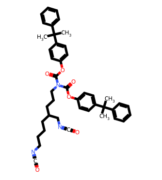 CC(C)(c1ccccc1)c1ccc(OC(=O)N(CCCC(CCCCN=C=O)CN=C=O)C(=O)Oc2ccc(C(C)(C)c3ccccc3)cc2)cc1